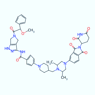 COC(C(=O)N1Cc2[nH]nc(NC(=O)c3ccc(N4CCC(CN5C(C)CN(c6ccc7c(c6)C(=O)N(C6CCC(=O)NC6=O)C7=O)CC5C)CC4)cc3)c2C1)c1ccccc1